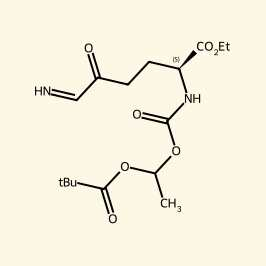 CCOC(=O)[C@H](CCC(=O)C=N)NC(=O)OC(C)OC(=O)C(C)(C)C